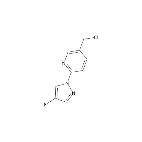 Fc1cnn(-c2ccc(CCl)cn2)c1